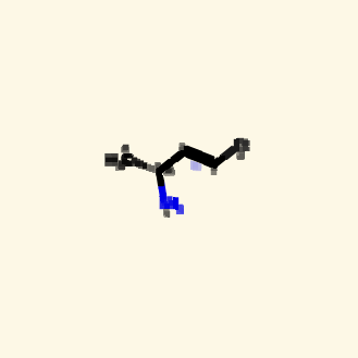 CC/C=C/[C@@H](C)N